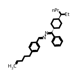 C=CCCCc1ccc(C=NN=C(c2ccccc2)[C@H]2CC[C@H](C(CC)CCC)CC2)cc1